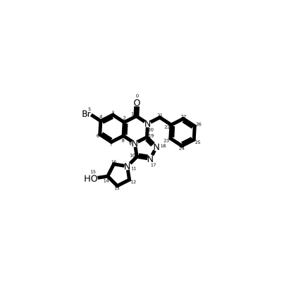 O=c1c2cc(Br)ccc2n2c(N3CCC(O)C3)nnc2n1Cc1ccccc1